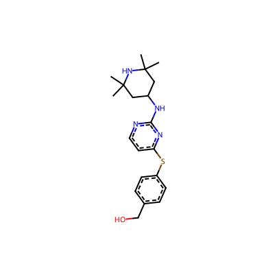 CC1(C)CC(Nc2nccc(Sc3ccc(CO)cc3)n2)CC(C)(C)N1